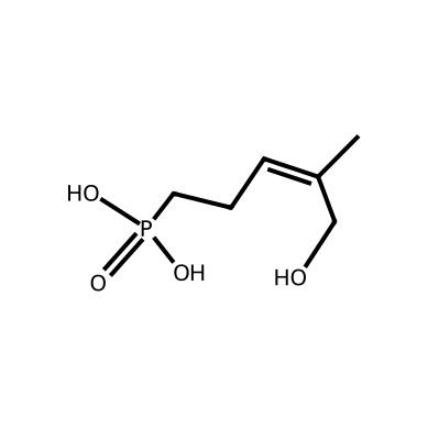 CC(=CCCP(=O)(O)O)CO